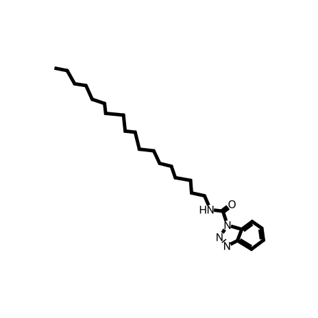 CCCCCCCCCCCCCCCCCCNC(=O)n1nnc2ccccc21